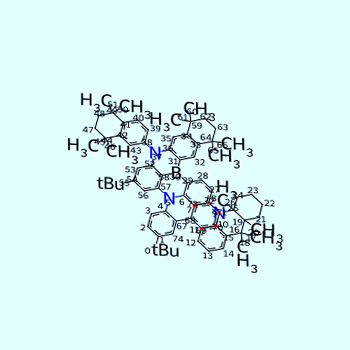 CC(C)(C)c1ccc(N2c3cc(N4c5ccccc5C(C)(C)C5(C)CCCCC45C)ccc3B3c4cc5c(cc4N(c4ccc6c(c4)C(C)(C)CCC6(C)C)c4cc(C(C)(C)C)cc2c43)C(C)(C)CCC5(C)C)c(-c2ccccc2)c1